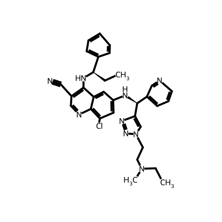 CC[C@@H](Nc1c(C#N)cnc2c(Cl)cc(N[C@@H](c3cccnc3)c3cn(CCN(C)CC)nn3)cc12)c1ccccc1